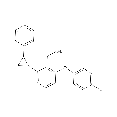 CCc1c(Oc2ccc(F)cc2)cccc1C1CC1c1ccccc1